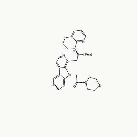 CCCCCN(Cc1nccc2c3ccccc3n(CC(=O)N3CCSCC3)c12)[C@H]1CCCc2cccnc21